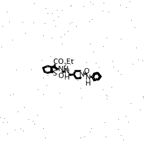 CCOC(=O)c1c(NC(=O)NCC2CCN(C(=O)Nc3ccccc3)CC2)sc2c1CCCC2